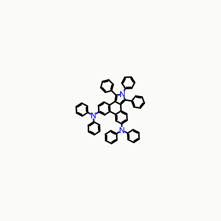 c1ccc(-c2c3c4ccc(N(c5ccccc5)c5ccccc5)cc4c4cc(N(c5ccccc5)c5ccccc5)ccc4c3c(-c3ccccc3)n2-c2ccccc2)cc1